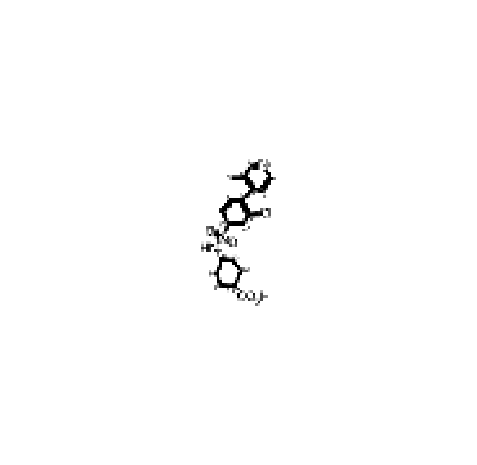 Cc1cnccc1-c1ccc(S(=O)(=O)N[C@H]2CC[C@H](C(=O)O)CC2)cc1Cl